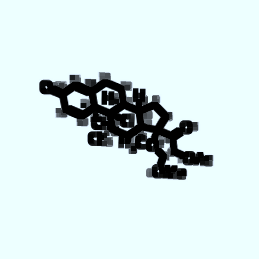 COCO[C@]1(C(=O)COC(C)=O)CC[C@H]2[C@@H]3CCC4=CC(=O)C=C[C@]4(C)[C@@]3(Cl)[C@@H](Cl)C[C@@]21C